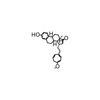 COC1=CC=C(CC[C@@H]2CC(=O)[C@@]3(C)CC[C@@H]4c5ccc(O)cc5CC[C@H]4[C@H]23)C=CC1